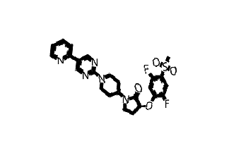 CS(=O)(=O)c1cc(F)c(O[C@H]2CCN(C3CCN(c4ncc(-c5ccccn5)cn4)CC3)C2=O)cc1F